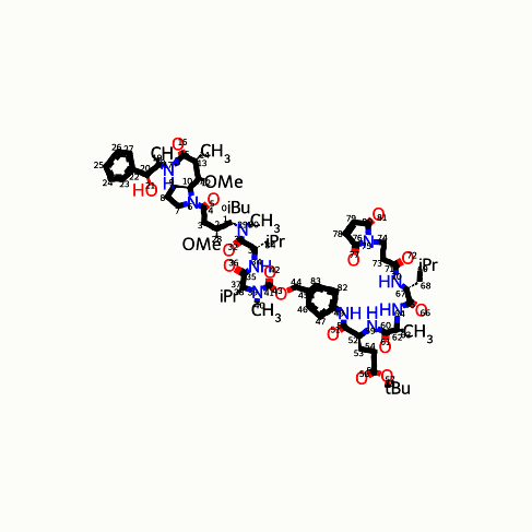 CC[C@H](C)[C@@H]([C@@H](CC(=O)N1CCC[C@H]1[C@H](OC)[C@@H](C)C(=O)N[C@H](C)[C@@H](O)c1ccccc1)OC)N(C)C(=O)[C@@H](NC(=O)[C@H](C(C)C)N(C)C(=O)OCc1ccc(NC(=O)[C@H](CCC(=O)OC(C)(C)C)NC(=O)[C@H](C)NC(=O)[C@@H](CC(C)C)NC(=O)CCN2C(=O)C=CC2=O)cc1)C(C)C